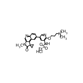 CCS(=O)(=O)Nc1cc(-c2ccc3ncc4c(c3c2)C2(CC2)C(=O)N4C)cnc1OCCCN(C)C.Cl